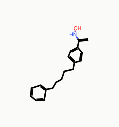 C=C(NO)c1ccc(CCCCCc2ccccc2)cc1